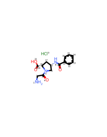 Cl.NCC(=O)N1C[C@@H](NC(=O)c2ccccc2)C[C@H]1C(=O)O